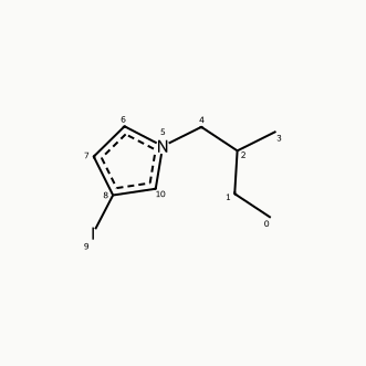 CCC(C)Cn1ccc(I)c1